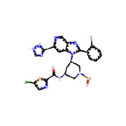 O=[SH]N1C[C@@H](NC(=O)c2ncc(Cl)s2)C[C@@H](n2c(-c3ccccc3F)nc3cnc(-c4nc[nH]n4)cc32)C1